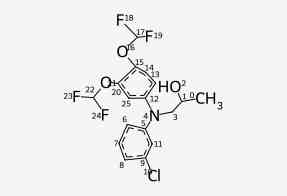 CC(O)CN(c1cccc(Cl)c1)c1ccc(OC(F)F)c(OC(F)F)c1